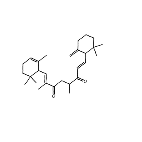 C=C1CCCC(C)(C)C1/C=C/C(=O)C(C)CC(=O)C(C)=CC1C(C)=CCCC1(C)C